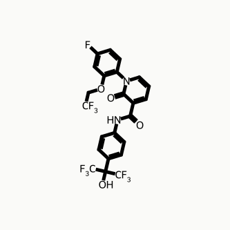 O=C(Nc1ccc(C(O)(C(F)(F)F)C(F)(F)F)cc1)c1cccn(-c2ccc(F)cc2OCC(F)(F)F)c1=O